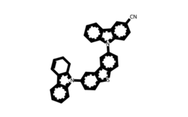 N#Cc1ccc2c(c1)c1ccccc1n2-c1ccc2sc3ccc(-n4c5c(c6ccccc64)C=CCC5)cc3c2c1